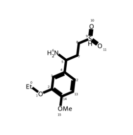 CCOc1cc(C(N)CC[SH](=O)=O)ccc1OC